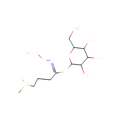 C[S+]([O-])CCCC(=NOS(=O)(=O)O)SC1OC(CO)C(O)C(O)C1O